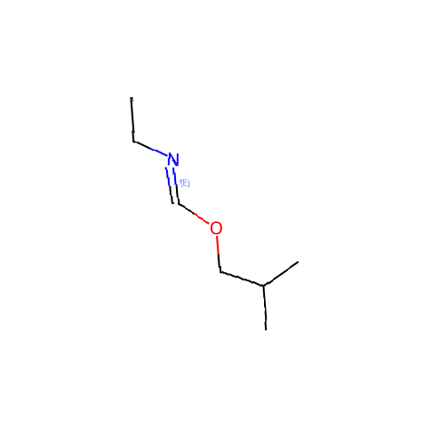 CC/N=[C]/OCC(C)C